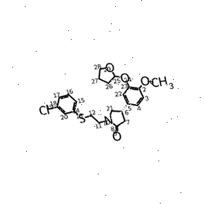 COc1ccc([C@@H]2CC(=O)N(CCSc3cccc(Cl)c3)C2)cc1OC1CCCO1